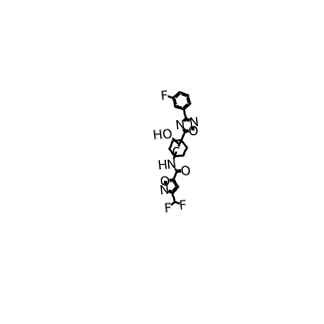 O=C(NC12CCC(c3nc(-c4cccc(F)c4)no3)(CC1)C(O)C2)c1cc(C(F)F)no1